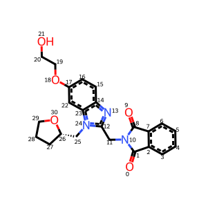 O=C1c2ccccc2C(=O)N1Cc1nc2ccc(OCCO)cc2n1C[C@@H]1CCCO1